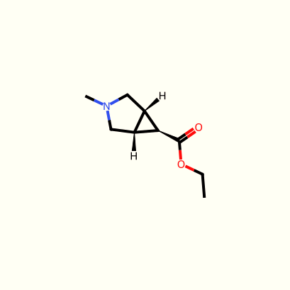 CCOC(=O)[C@H]1[C@@H]2CN(C)C[C@@H]21